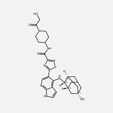 O=C(NC1CCN(C(=O)CO)CC1)c1noc(-c2cnc3[nH]ccc3c2N[C@H]2[C@@H]3CC4C[C@H]2C[C@@](O)(C4)C3)n1